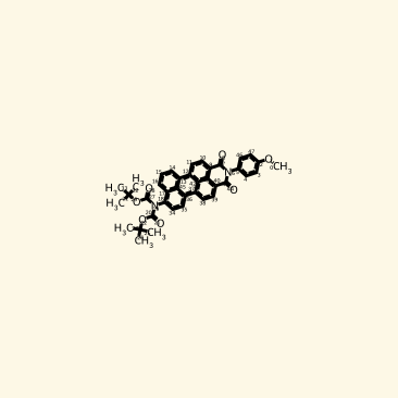 COc1ccc(N2C(=O)c3ccc4c5cccc6c(N(C(=O)OC(C)(C)C)C(=O)OC(C)(C)C)ccc(c7ccc(c3c47)C2=O)c65)cc1